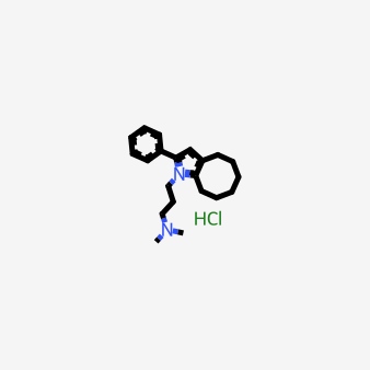 CN(C)CCCn1c(-c2ccccc2)cc2c1CCCCCC2.Cl